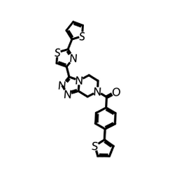 O=C(c1ccc(-c2cccs2)cc1)N1CCn2c(nnc2-c2csc(-c3cccs3)n2)C1